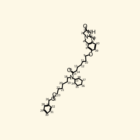 O=C1CN2Cc3cc(OCCCCCCC(=O)N(CCCCCCOOCc4ccccc4)C4CCCCC4)ccc3N=C2N1